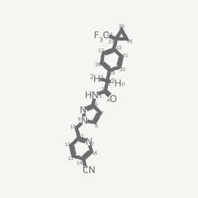 [2H]C([2H])(C(=O)Nc1ccn(Cc2ccc(C#N)cn2)n1)c1ccc(C2(C(F)(F)F)CC2)cc1